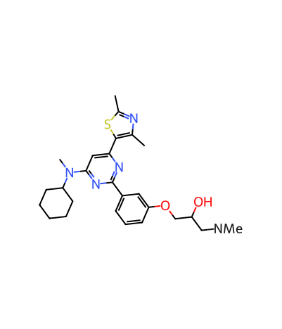 CNCC(O)COc1cccc(-c2nc(-c3sc(C)nc3C)cc(N(C)C3CCCCC3)n2)c1